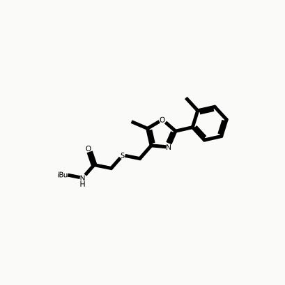 CCC(C)NC(=O)CSCc1nc(-c2ccccc2C)oc1C